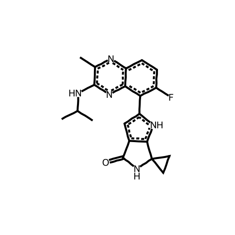 Cc1nc2ccc(F)c(-c3cc4c([nH]3)C3(CC3)NC4=O)c2nc1NC(C)C